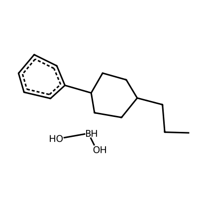 CCCC1CCC(c2ccccc2)CC1.OBO